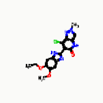 CCOc1cc2[nH]c(-c3c(Cl)c4nn(C)cc4[nH]c3=O)nc2cc1OC